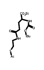 CCOC(=O)C(CCC(=O)NCCSC(C)=O)NC(=O)OC(C)(C)C